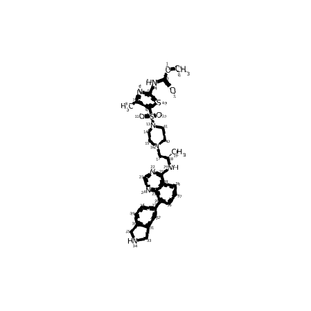 COC(=O)Nc1nc(C)c(S(=O)(=O)N2CCN(C[C@H](C)Nc3ncnc4c(-c5ccc6c(c5)CNC6)cccc34)CC2)s1